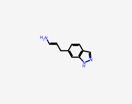 NC=CCc1ccc2cn[nH]c2c1